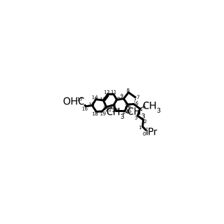 CC(C)CCC[C@@H](C)[C@H]1CCC2C3CC=C4CC(CC=O)CC[C@]4(C)C3CC[C@@]21C